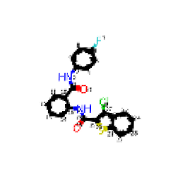 O=C(Nc1ccc(F)cc1)c1ccccc1NC(=O)c1sc2ccccc2c1Cl